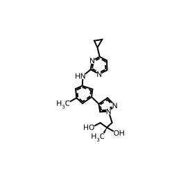 Cc1cc(Nc2nccc(C3CC3)n2)cc(-c2cnn(C[C@](C)(O)CO)c2)c1